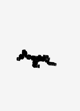 COCCCNc1ccc(S(=O)(=O)NC(=O)c2ccc(N3CCN(CC4=C(c5ccc(Cl)cc5)CC(C)(C)CC4)CC3)cc2-c2ccc3[nH]ccc3c2)cc1[N+](=O)[O-]